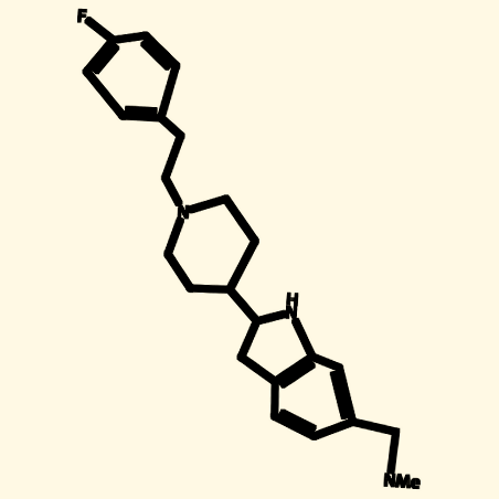 CNCc1ccc2c(c1)NC(C1CCN(CCc3ccc(F)cc3)CC1)C2